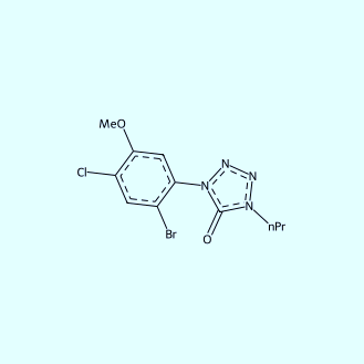 CCCn1nnn(-c2cc(OC)c(Cl)cc2Br)c1=O